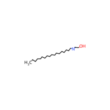 CCCCCCCCCCCCCCCCCCN=CCO